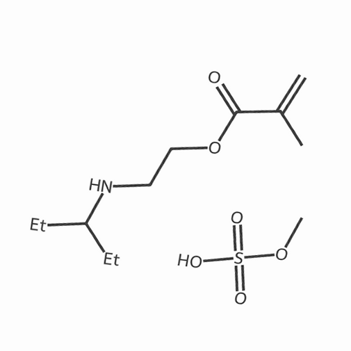 C=C(C)C(=O)OCCNC(CC)CC.COS(=O)(=O)O